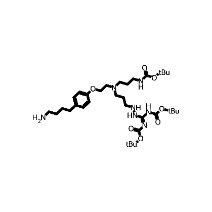 CC(C)(C)OC(=O)/N=C(\NNCCCN(CCCNC(=O)OC(C)(C)C)CCOc1ccc(CCCCN)cc1)NC(=O)OC(C)(C)C